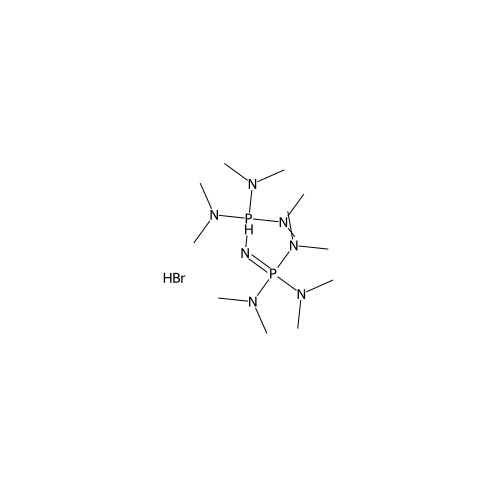 Br.CN(C)P(=N[PH](N(C)C)(N(C)C)N(C)C)(N(C)C)N(C)C